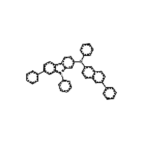 c1ccc(-c2ccc3cc(N(c4ccccc4)c4ccc5c6ccc(-c7ccccc7)cc6n(-c6ccccc6)c5c4)ccc3c2)cc1